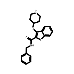 O=C(NCc1ccccc1)c1sc2ccccc2c1OC1CCNCC1